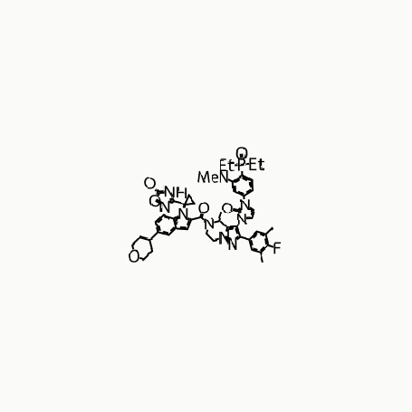 CCP(=O)(CC)c1ccc(-n2ccn(-c3c(-c4cc(C)c(F)c(C)c4)nn4c3C(C)N(C(=O)c3cc5cc(C6CCOCC6)ccc5n3C3(c5noc(=O)[nH]5)CC3)CC4)c2=O)cc1NC